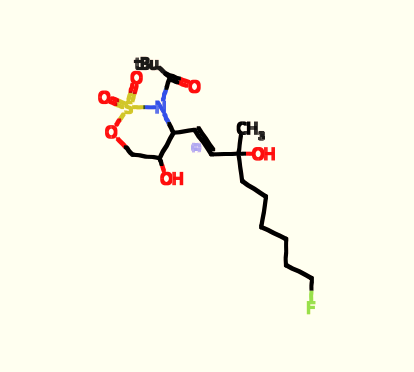 CC(O)(/C=C/C1C(O)COS(=O)(=O)N1C(=O)C(C)(C)C)CCCCCCF